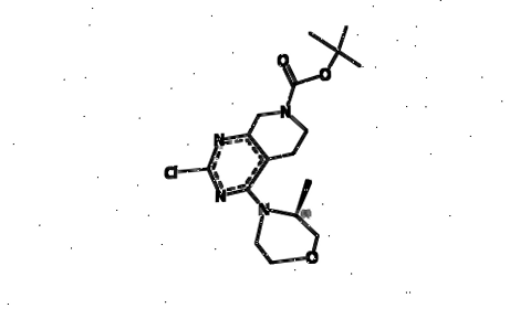 C[C@H]1COCCN1c1nc(Cl)nc2c1CCN(C(=O)OC(C)(C)C)C2